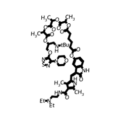 CCN(CC)CCNC(=O)c1c(C)[nH]c(/C=C2\C(=O)Nc3ccc(OC(=O)CCCCC(=O)OC(C)C(=O)OC(C)C(=O)OC(C)C(=O)OC(CNC(C)(C)C)COc4nsnc4N4CCOCC4)cc32)c1C